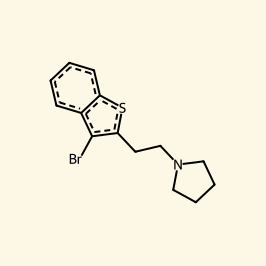 Brc1c(CCN2CCCC2)sc2ccccc12